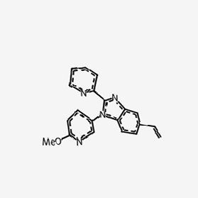 C=Cc1ccc2c(c1)nc(-c1ccccn1)n2-c1ccc(OC)nc1